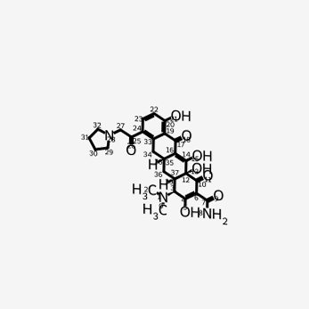 CN(C)[C@@H]1C(O)=C(C(N)=O)C(=O)[C@@]2(O)C(O)=C3C(=O)c4c(O)ccc(C(=O)CN5CCCC5)c4C[C@H]3C[C@@H]12